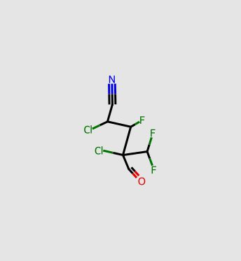 N#CC(Cl)C(F)C(Cl)(C=O)C(F)F